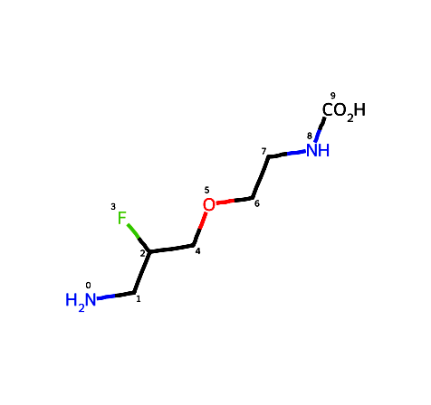 NCC(F)COCCNC(=O)O